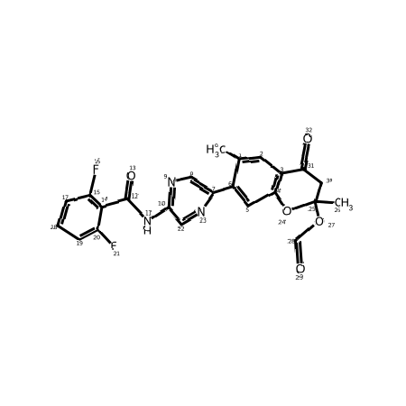 Cc1cc2c(cc1-c1cnc(NC(=O)c3c(F)cccc3F)cn1)OC(C)(OC=O)CC2=O